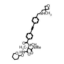 CNC(=O)[C@@](C)(C(=O)NOC1CCCCO1)N(C)C(=O)c1ccc(C#Cc2ccc(CNCC3(C)COC3)cc2)cc1